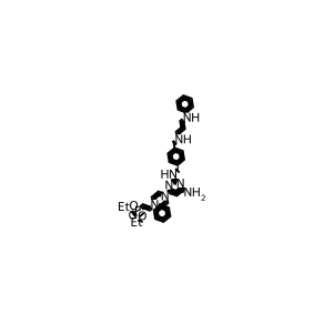 CCOP(=O)(CCN1CCN(c2cc(N)nc(NC[C@H]3CC[C@H](CNCCCNC4CCCCC4)CC3)n2)CC12CCCCC2)OCC